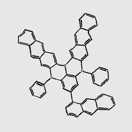 c1ccc(N2c3cc4cc5ccccc5cc4cc3B3c4cc5cc6ccccc6cc5cc4N(c4ccccc4)c4cc(-c5cccc6cc7ccccc7cc56)cc2c43)cc1